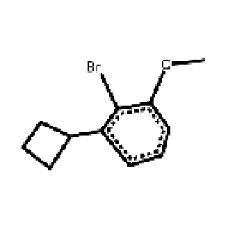 COc1cccc(C2CCC2)c1Br